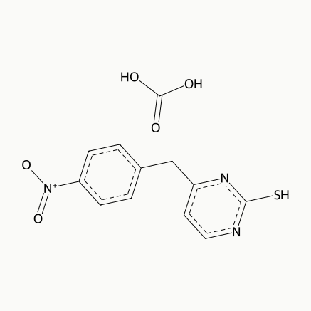 O=C(O)O.O=[N+]([O-])c1ccc(Cc2ccnc(S)n2)cc1